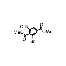 COC(=O)c1cc(Br)c(C(=O)OC)c([N+](=O)[O-])c1